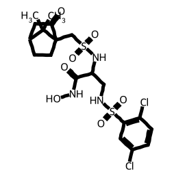 CC1(C)C2CCC1(CS(=O)(=O)NC(CNS(=O)(=O)c1cc(Cl)ccc1Cl)C(=O)NO)C(=O)C2